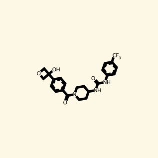 O=C(Nc1ccc(C(F)(F)F)cc1)NC1CCN(C(=O)c2ccc(C3(O)COC3)cc2)CC1